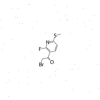 CSc1ccc(C(=O)CBr)c(F)n1